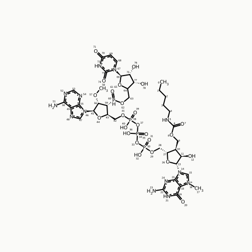 CCCCCNC(=O)OC[C@H]1[C@@H](O)[C@H](n2c[n+](C)c3c(=O)[nH]c(N)nc32)O[C@@H]1COP(=O)(O)OP(=O)(O)OP(=O)(O)OC[C@H]1O[C@@H](n2cnc3c(N)ncnc32)[C@H](OC)[C@@H]1[PH](=O)OCC1O[C@@H](n2ccc(=O)[nH]c2=O)[C@H](O)[C@@H]1O